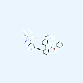 COCCn1cnc2ncc(C#Cc3cccc(C(O)C(=O)c4ccccc4)c3-c3ccc4cc[nH]c4c3)cc2c1=O